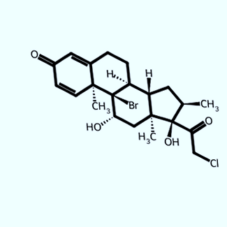 C[C@@H]1C[C@H]2[C@@H]3CCC4=CC(=O)C=C[C@]4(C)[C@@]3(Br)[C@@H](O)C[C@]2(C)[C@@]1(O)C(=O)CCl